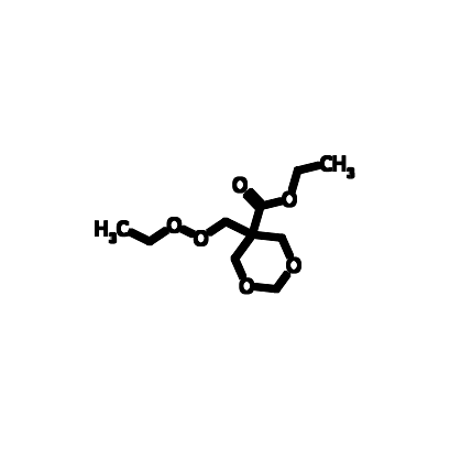 CCOOCC1(C(=O)OCC)COCOC1